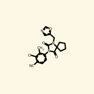 Cc1c(N2C(=O)N(Cc3cnco3)C3(CCCC3)C2=O)ccc(C#N)c1Cl